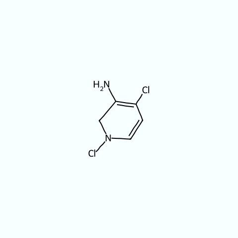 NC1=C(Cl)C=CN(Cl)C1